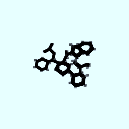 CC(C)CN(c1ccc(-c2cccnc2C(=O)O)cc1Nc1nc2ccccc2o1)C1CCCCC1